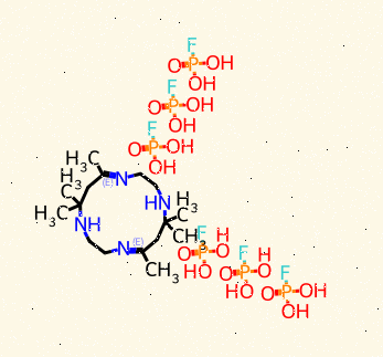 C/C1=N\CCNC(C)(C)C/C(C)=N/CCNC(C)(C)C1.O=P(O)(O)F.O=P(O)(O)F.O=P(O)(O)F.O=P(O)(O)F.O=P(O)(O)F.O=P(O)(O)F